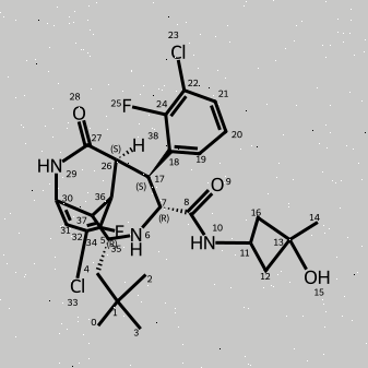 CC(C)(C)C[C@H]1N[C@@H](C(=O)NC2CC(C)(O)C2)[C@H](c2cccc(Cl)c2F)[C@@H]2C(=O)NC3=CC(Cl)=C(F)C2C31